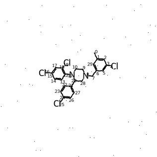 Cc1cc(Cl)cc(CN2CCN(c3ccc(Cl)cc3Cl)C(c3ccc(Cl)cc3)C2)c1